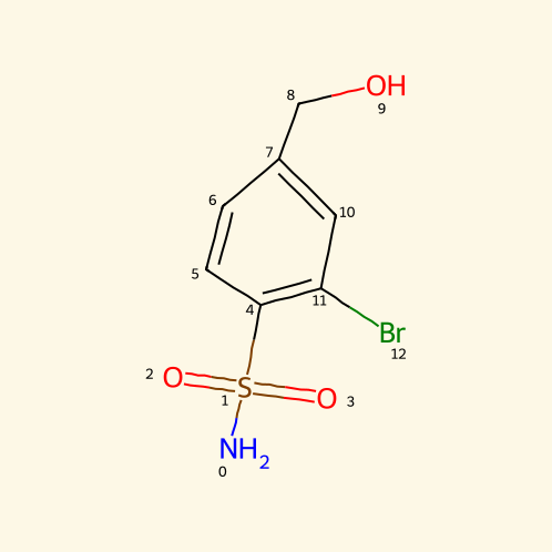 NS(=O)(=O)c1ccc(CO)cc1Br